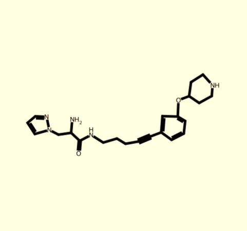 NC(Cn1cccn1)C(=O)NCCCC#Cc1cccc(OC2CCNCC2)c1